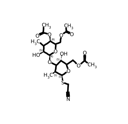 CC(=O)OCC1O[C@@H](SCC#N)[C@@H](C)C(O[C@@H]2OC(COC(C)=O)[C@H](OC(C)=O)C(C)[C@@H]2O)[C@@H]1O